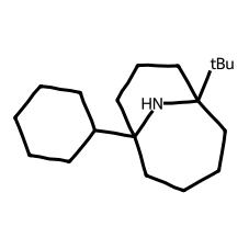 CC(C)(C)C12CCCCC(C3CCCCC3)(CCC1)N2